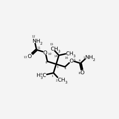 CC(C)C(COC(N)=O)(COC(N)=O)C(C)C